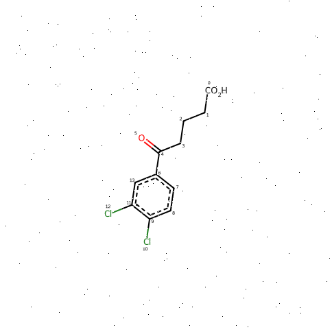 O=C(O)CCCC(=O)c1ccc(Cl)c(Cl)c1